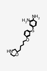 Nc1ccc(Sc2cccc(OCCCCC3CNCCO3)c2)cc1N